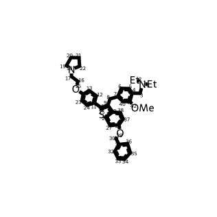 CCN(CC)Cc1ccc(Cc2c(-c3ccc(OCCN4CCCC4)cc3)sc3cc(OCc4ccccc4)ccc23)cc1OC